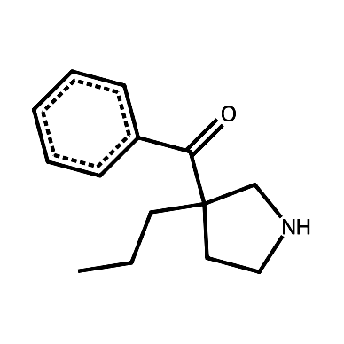 CCCC1(C(=O)c2ccccc2)CCNC1